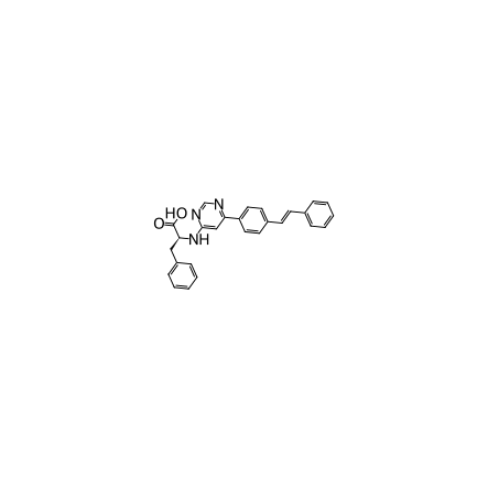 O=C(O)[C@H](Cc1ccccc1)Nc1cc(-c2ccc(/C=C/c3ccccc3)cc2)ncn1